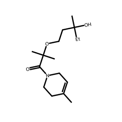 CCC(C)(O)CCOC(C)(C)C(=O)N1CC=C(C)CC1